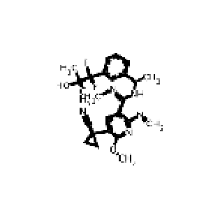 C=Nc1nc(OC)c(C2(C#N)CC2)cc1/C(=N\C)N[C@H](C)c1cccc(C(F)(F)C(C)(C)O)c1